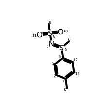 Cc1ccc(S(C)=NS(C)(=O)=O)cc1